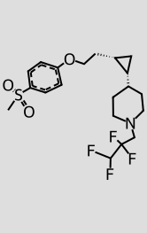 CS(=O)(=O)c1ccc(OCC[C@@H]2C[C@@H]2C2CCN(CC(F)(F)C(F)F)CC2)cc1